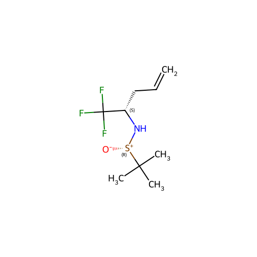 C=CC[C@H](N[S@@+]([O-])C(C)(C)C)C(F)(F)F